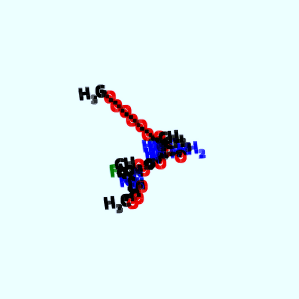 CCCOCCOCCOCCOCCOCCOCCC(=O)N[C@H](C(=O)N[C@@H](CCCNC(N)=O)C(=O)Nc1ccc(OC(=O)N[C@H]2CCc3c(C)c(F)cc4nc5c(c2c34)Cn2c-5cc3c(c2=O)COC(=O)C3CC)cc1)C(C)C